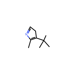 CC1=C(C(C)(C)C)CC=N1